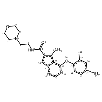 Cc1c(C(=O)NCCN2CCOCC2)cn2ncnc(Oc3ccc(N)cc3F)c12